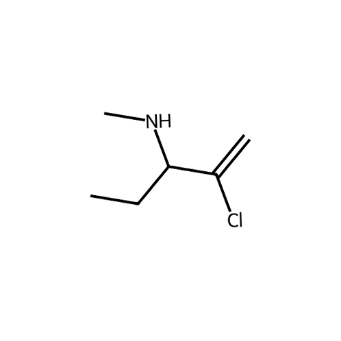 C=C(Cl)C(CC)NC